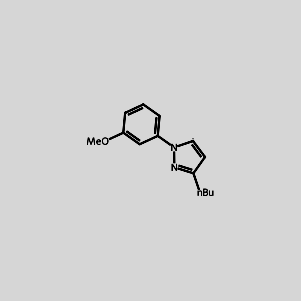 CCCCc1c[c]n(-c2cccc(OC)c2)n1